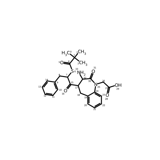 CC(C)(C)C(=O)SC(Cc1ccccc1)C(=O)C1Cc2ccccc2N(CC(=O)O)C(=O)C1N